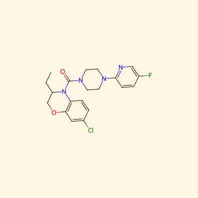 CCC1COc2cc(Cl)ccc2N1C(=O)N1CCN(c2ccc(F)cn2)CC1